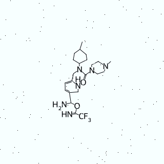 CC1CCC(N(CC2=CC=C(C(N)OC(=N)C(F)(F)F)CN2)C(=O)N2CCN(C)CC2)CC1